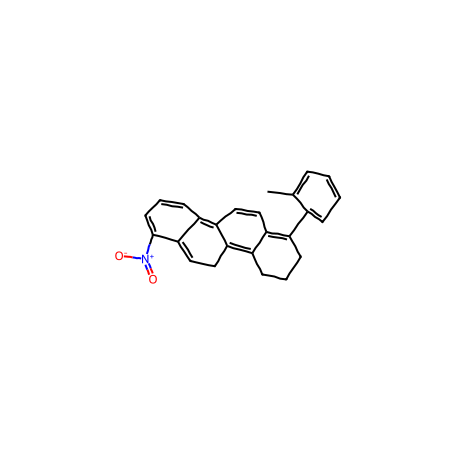 Cc1ccccc1C1=c2ccc3c(c2CCC1)CC=c1c([N+](=O)[O-])cccc1=3